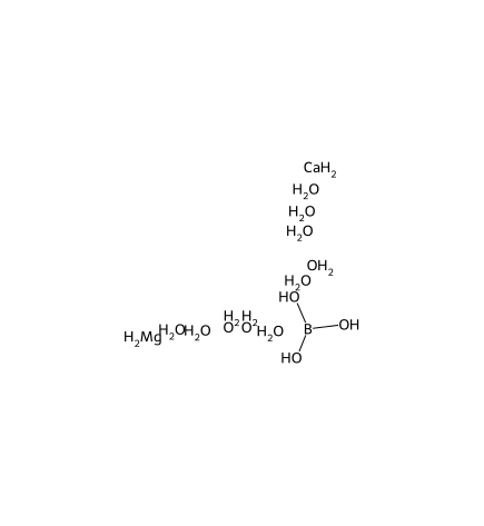 O.O.O.O.O.O.O.O.O.O.OB(O)O.[CaH2].[MgH2]